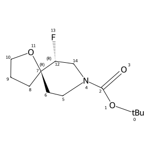 CC(C)(C)OC(=O)N1CC[C@]2(CCCO2)[C@H](F)C1